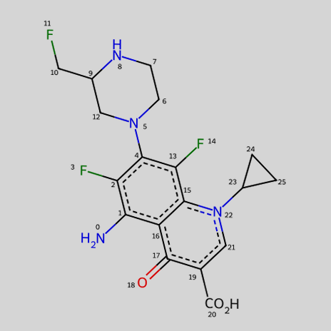 Nc1c(F)c(N2CCNC(CF)C2)c(F)c2c1c(=O)c(C(=O)O)cn2C1CC1